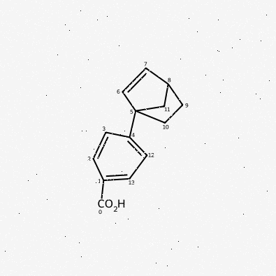 O=C(O)c1ccc(C23C=CC(CC2)C3)cc1